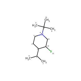 CC(C)C1CCN(C(C)(C)C)CC1F